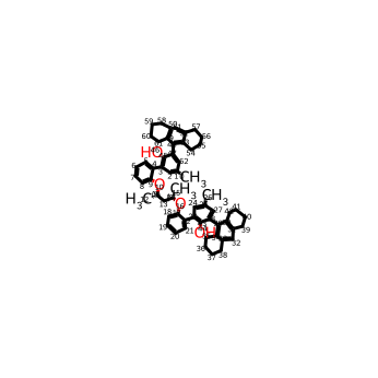 Cc1cc(-c2ccccc2O[C@@H](C)C[C@H](C)Oc2ccccc2-c2cc(C)cc(-c3c4c(cc5c3CCCC5)CCCC4)c2O)c(O)c(-c2c3c(cc4c2CCCC4)CCCC3)c1